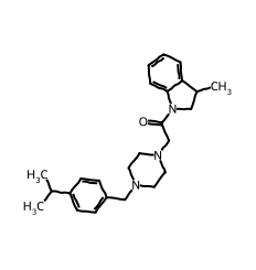 CC(C)c1ccc(CN2CCN(CC(=O)N3CC(C)c4ccccc43)CC2)cc1